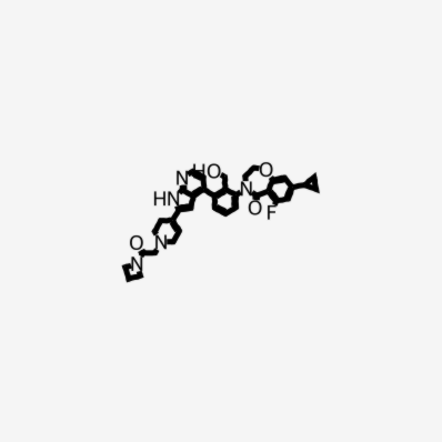 O=C(CN1CC=C(c2cc3c(-c4cccc(N5CCOc6cc(C7CC7)cc(F)c6C5=O)c4CO)ccnc3[nH]2)CC1)N1CCC1